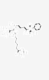 C=C(CCCCNOC(C(=C)C)N(C=CC=C(C(=O)OCC)S(=O)(=O)c1ccccc1)CC)OCC